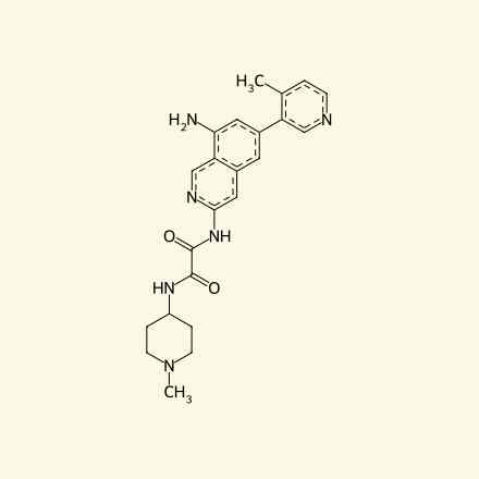 Cc1ccncc1-c1cc(N)c2cnc(NC(=O)C(=O)NC3CCN(C)CC3)cc2c1